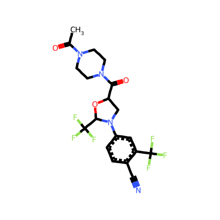 CC(=O)N1CCN(C(=O)C2CN(c3ccc(C#N)c(C(F)(F)F)c3)C(C(F)(F)F)O2)CC1